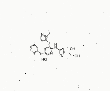 CCn1nccc1Oc1cc(Sc2ccccn2)cnc1Nc1nc([C@H](O)CO)ns1.Cl